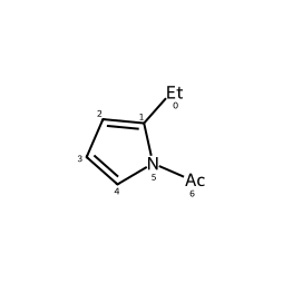 [CH2]Cc1cccn1C(C)=O